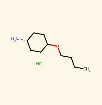 CCCCO[C@H]1CC[C@H](N)CC1.Cl